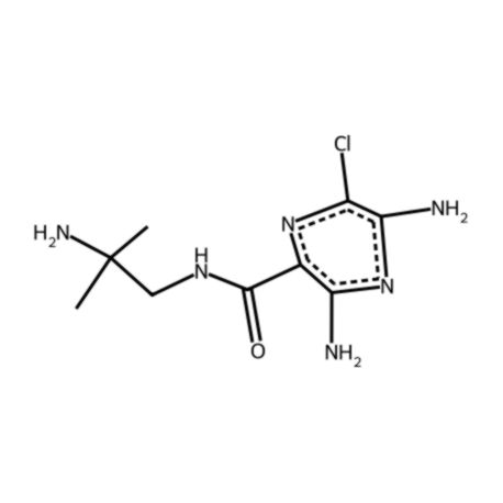 CC(C)(N)CNC(=O)c1nc(Cl)c(N)nc1N